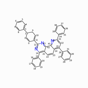 C1=CC(c2ccccc2)CC=C1c1nc(-c2ccccc2)c2ccc3c(-c4ccccc4)cc(-c4ccccc4)nc3c2n1